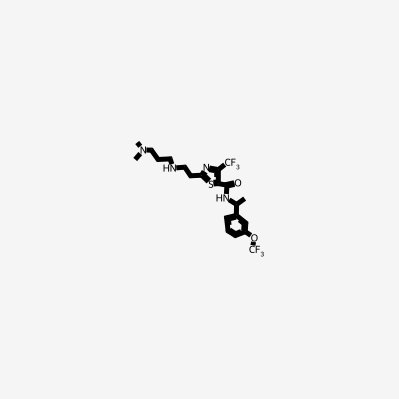 CC(NC(=O)c1sc(CCNCCCN(C)C)nc1C(F)(F)F)c1cccc(OC(F)(F)F)c1